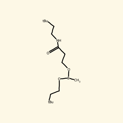 CB(OCCC(=O)NCCC(C)(C)C)OCCC(C)(C)C